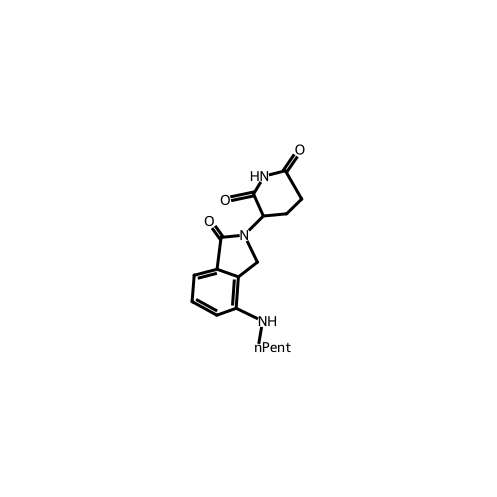 [CH2]CCCCNc1cccc2c1CN(C1CCC(=O)NC1=O)C2=O